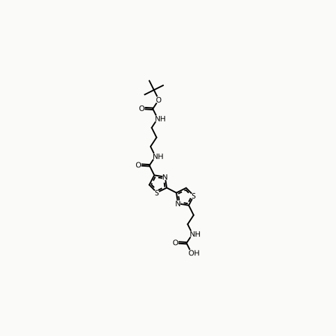 CC(C)(C)OC(=O)NCCCNC(=O)c1csc(-c2csc(CCNC(=O)O)n2)n1